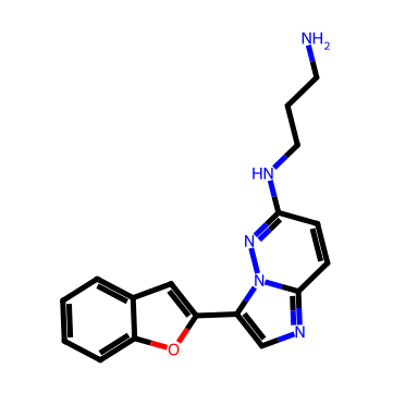 NCCCNc1ccc2ncc(-c3cc4ccccc4o3)n2n1